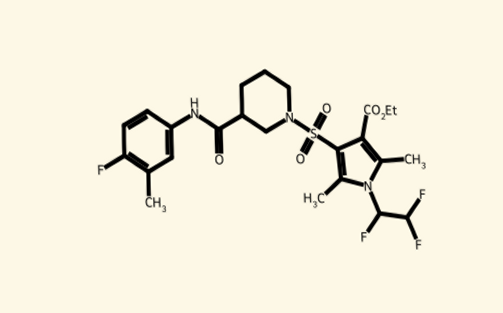 CCOC(=O)c1c(S(=O)(=O)N2CCCC(C(=O)Nc3ccc(F)c(C)c3)C2)c(C)n(C(F)C(F)F)c1C